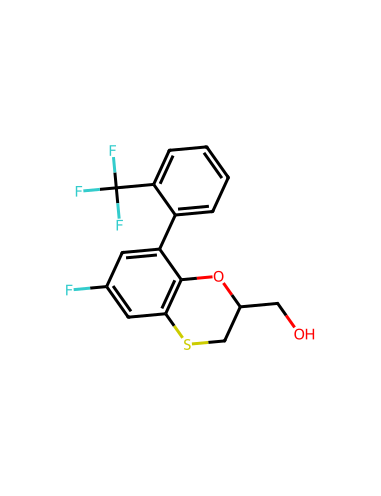 OCC1CSc2cc(F)cc(-c3ccccc3C(F)(F)F)c2O1